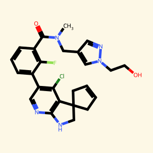 CN(Cc1cnn(CCO)c1)C(=O)c1cccc(-c2cnc3c(c2Cl)C2(CC=CC2)CN3)c1F